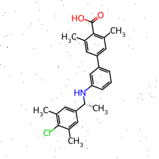 Cc1cc([C@@H](C)Nc2cccc(-c3cc(C)c(C(=O)O)c(C)c3)c2)cc(C)c1Cl